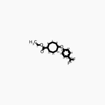 CCOC(=O)C1CCCC(Oc2ccc(C(F)F)cc2)CCC1